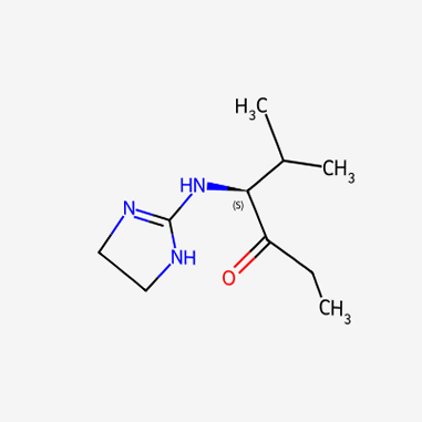 CCC(=O)[C@@H](NC1=NCCN1)C(C)C